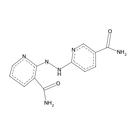 NC(=O)c1ccc(N[N]c2ncccc2C(N)=O)nc1